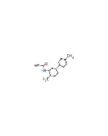 CCCC(=O)Nc1cc(-c2ccc(C)cc2)ccc1C